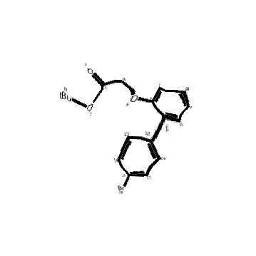 CC(C)(C)OC(=O)COc1ccccc1-c1ccc(Br)cc1